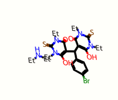 CCNCC.CCn1c(O)c(C(c2ccc(Br)cc2)c2c(O)n(CC)c(=S)n(CC)c2=O)c(=O)n(CC)c1=S